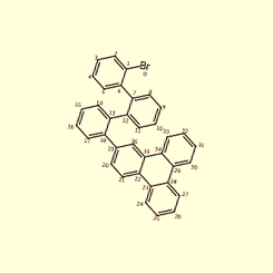 Brc1ccccc1-c1ccccc1-c1ccccc1-c1ccc2c3ccccc3c3ccccc3c2c1